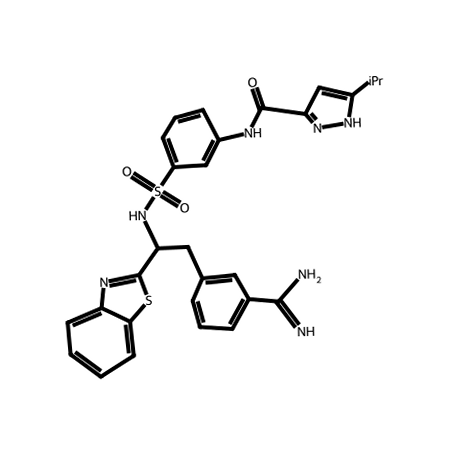 CC(C)c1cc(C(=O)Nc2cccc(S(=O)(=O)NC(Cc3cccc(C(=N)N)c3)c3nc4ccccc4s3)c2)n[nH]1